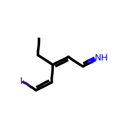 CCC(/C=C\I)=C/C=N